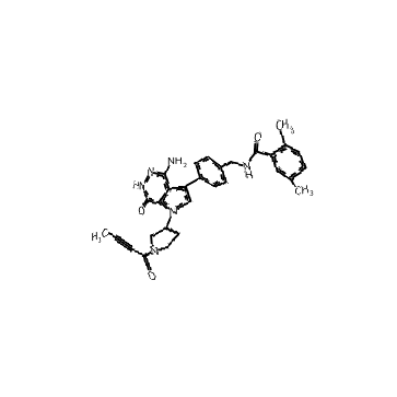 CC#CC(=O)N1CCC(n2cc(-c3ccc(CNC(=O)c4cc(C)ccc4C)cc3)c3c(N)n[nH]c(=O)c32)C1